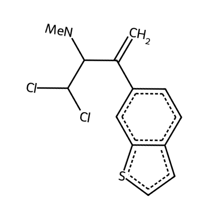 C=C(c1ccc2ccsc2c1)C(NC)C(Cl)Cl